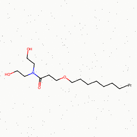 CC(C)CCCCCCCOCCC(=O)N(CCO)CCO